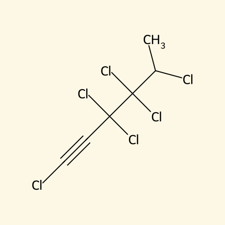 CC(Cl)C(Cl)(Cl)C(Cl)(Cl)C#CCl